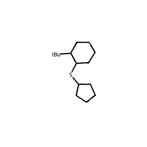 CC(C)(C)C1CCCCC1SC1CCCC1